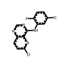 Fc1ccc(Cl)cc1Nc1ncnc2ccc(Cl)nc12